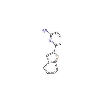 Nc1cccc(-c2cc3ccccc3s2)n1